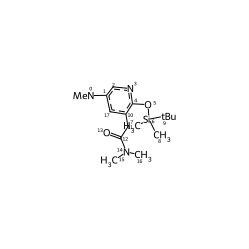 CNc1cnc(O[Si](C)(C)C(C)(C)C)c(CC(=O)N(C)C)c1